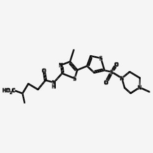 Cc1nc(NC(=O)CCC(C)C(=O)O)sc1-c1csc(S(=O)(=O)N2CCN(C)CC2)c1